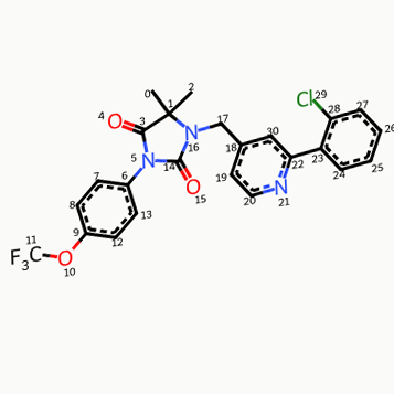 CC1(C)C(=O)N(c2ccc(OC(F)(F)F)cc2)C(=O)N1Cc1ccnc(-c2ccccc2Cl)c1